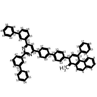 C=C1c2ccc3ccccc3c2C(c2ccccc2)=CC1c1ccc(-c2ccc(-c3cc(-c4cccc(-c5ccccc5)c4)nc(-c4cccc(-c5ccccc5)c4)n3)cc2)cc1